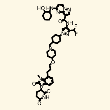 Cn1c(=O)n(C2CCC(=O)NC2=O)c2cccc(CCCOC3CCN(CC4CCC(n5cc(NC(=O)c6cnn7ccc(NC8CCCCC8O)nc67)c(C(F)F)n5)CC4)CC3)c21